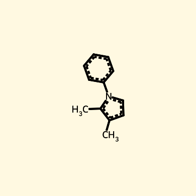 Cc1ccn(-c2ccccc2)c1C